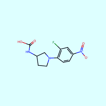 O=C(O)NC1CCN(c2ccc([N+](=O)[O-])cc2F)C1